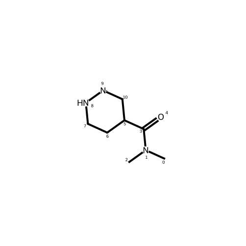 CN(C)C(=O)C1CCN[N]C1